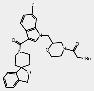 CC(C)(C)CC(=O)N1CCOC(Cn2cc(C(=O)N3CCC4(CC3)OCc3ccccc34)c3ccc(Cl)cc32)C1